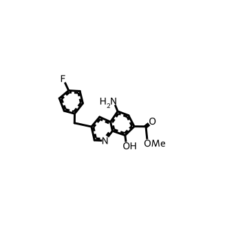 COC(=O)c1cc(N)c2cc(Cc3ccc(F)cc3)cnc2c1O